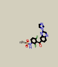 CCCS(=O)(=O)Nc1ccc(F)c(C(=O)c2ccc3ncc(-n4ccnc4)nc3c2)c1F